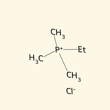 CC[P+](C)(C)C.[Cl-]